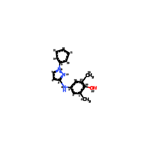 Cc1cc(Nc2ccn(-c3ccccc3)n2)cc(C)c1O